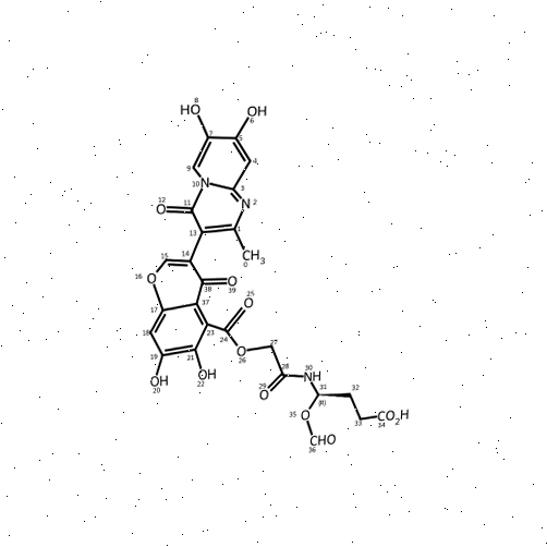 Cc1nc2cc(O)c(O)cn2c(=O)c1-c1coc2cc(O)c(O)c(C(=O)OCC(=O)N[C@@H](CCC(=O)O)OC=O)c2c1=O